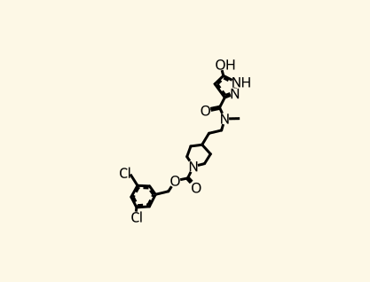 CN(CCC1CCN(C(=O)OCc2cc(Cl)cc(Cl)c2)CC1)C(=O)c1cc(O)[nH]n1